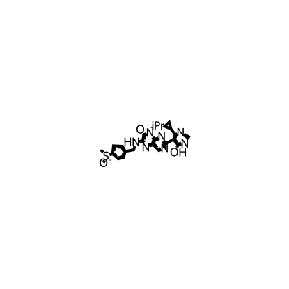 CC(C)n1c(=O)c(NCc2ccc([S+](C)[O-])cc2)nc2cnc(-c3c(O)ncnc3C3CC3)nc21